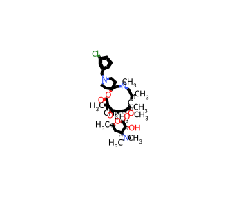 CO[C@]1(C)C[C@@H](C)CN(C)CC2(CCN(Cc3cccc(Cl)c3)CC2)OC(=O)C(C)(C)C(=O)[C@H](C)[C@H]1O[C@@H]1O[C@H](C)C[C@H](N(C)C)[C@H]1O